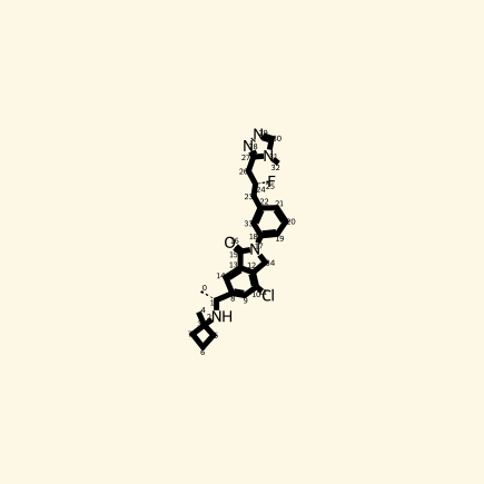 C[C@@H](NC1(C)CCC1)c1cc(Cl)c2c(c1)C(=O)N(c1cccc(C[C@@H](F)Cc3nncn3C)c1)C2